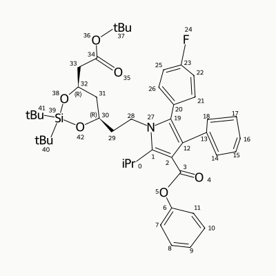 CC(C)c1c(C(=O)Oc2ccccc2)c(-c2ccccc2)c(-c2ccc(F)cc2)n1CC[C@@H]1C[C@H](CC(=O)OC(C)(C)C)O[Si](C(C)(C)C)(C(C)(C)C)O1